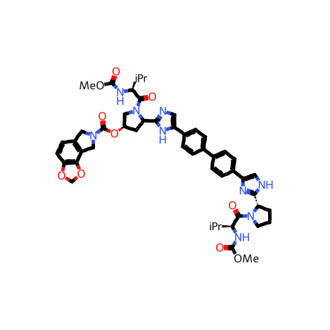 COC(=O)N[C@H](C(=O)N1C[C@H](OC(=O)N2Cc3ccc4c(c3C2)OCO4)CC1c1ncc(-c2ccc(-c3ccc(-c4c[nH]c([C@@H]5CCCN5C(=O)[C@@H](NC(=O)OC)C(C)C)n4)cc3)cc2)[nH]1)C(C)C